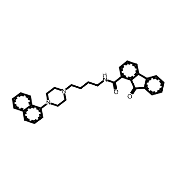 O=C(NCCCCN1CCN(c2cccc3ccccc23)CC1)c1cccc2c1C(=O)c1ccccc1-2